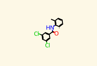 Cc1ccc[c]c1NC(=O)c1cc(Cl)cc(Cl)c1